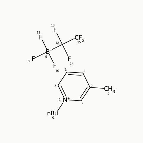 CCCC[n+]1cccc(C)c1.F[B-](F)(F)C(F)(F)C(F)(F)F